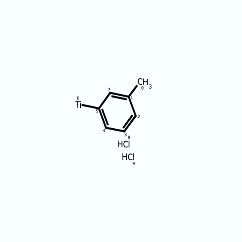 Cc1ccc[c]([Ti])c1.Cl.Cl